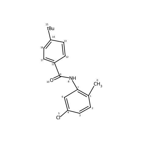 Cc1ccc(Cl)cc1NC(=O)c1ccc(C(C)(C)C)cc1